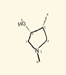 CN1C[C@@H](I)[C@@H](O)C1